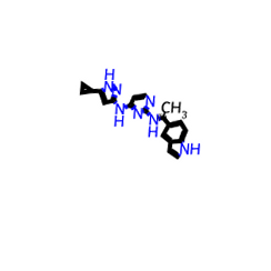 C[C@@H](Nc1nccc(Nc2cc(C3CC3)[nH]n2)n1)c1ccc2[nH]ccc2c1